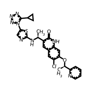 C[C@H](Nc1ncc(-n2nnnc2C2CC2)s1)c1cc2cc(Cl)c(O[C@H](C)c3ccccn3)cc2[nH]c1=O